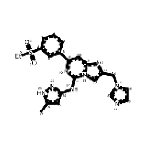 CCS(=O)(=O)c1cccc(-c2cc3nc(Cn4ccnc4)cn3c(Nc3cc(C)[nH]n3)n2)c1